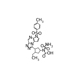 CCC1CC(N(C(=O)O)S(N)(=O)=O)CC1c1nnc2cnc3c(ccn3S(=O)(=O)c3ccc(C)cc3)n12